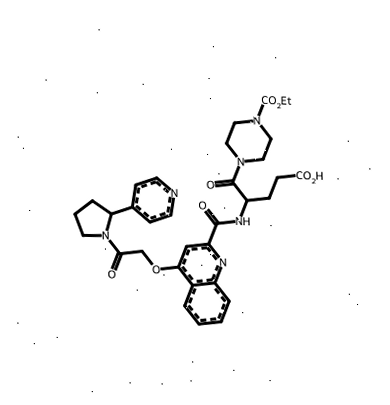 CCOC(=O)N1CCN(C(=O)C(CCC(=O)O)NC(=O)c2cc(OCC(=O)N3CCCC3c3ccncc3)c3ccccc3n2)CC1